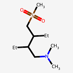 CCC(CN(C)C)C(CC)CS(C)(=O)=O